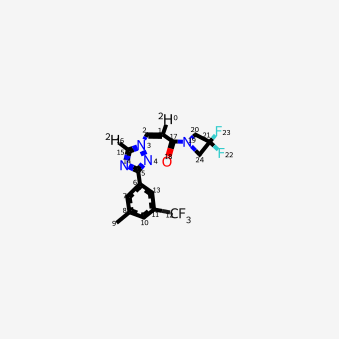 [2H]/C(=C/n1nc(-c2cc(C)cc(C(F)(F)F)c2)nc1[2H])C(=O)N1CC(F)(F)C1